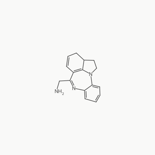 NCC1=Nc2ccccc2N2CCC3CC=CC1=C32